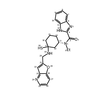 CCN(C(=O)c1nc2ccccc2[nH]1)[C@H]1CCCC(S)(NCc2cc3ncccc3o2)C1